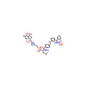 CC(C)CC(NC(=O)c1ccc(COc2cccc(C(NC(=O)O)c3ccccc3)c2)cc1)C(=O)OCCCCNCC(O)c1ccc(O)c2[nH]c(=O)ccc12